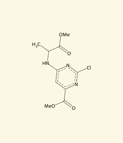 COC(=O)c1cc(NC(C)C(=O)OC)nc(Cl)n1